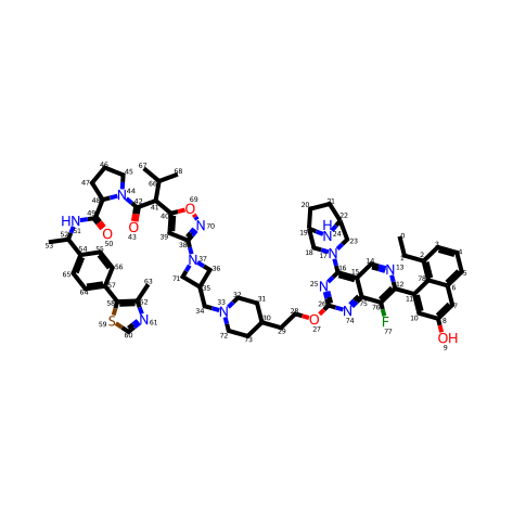 CCc1cccc2cc(O)cc(-c3ncc4c(N5CC6CCC(C5)N6)nc(OCCC5CCN(CC6CN(c7cc(C(C(=O)N8CCCC8C(=O)NC(C)c8ccc(-c9scnc9C)cc8)C(C)C)on7)C6)CC5)nc4c3F)c12